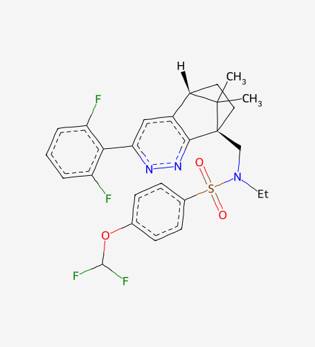 CCN(C[C@@]12CC[C@@H](c3cc(-c4c(F)cccc4F)nnc31)C2(C)C)S(=O)(=O)c1ccc(OC(F)F)cc1